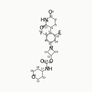 O=C1CCC(c2c(F)cc(N3CC(OC(=O)NC4CCOCC4)C3)cc2F)C(=O)N1